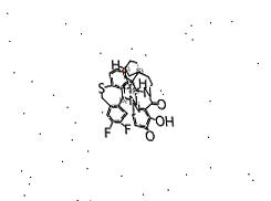 O=C1c2c(O)c(=O)ccn2N([C@H]2c3cc(F)c(F)cc3CSc3ccccc32)[C@@H]2[C@H]3C[C@@H]4CC[C@@]3(CCN12)C4